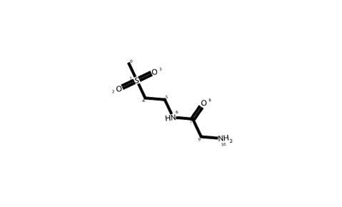 CS(=O)(=O)CCNC(=O)CN